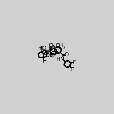 Cc1cccc([C@@H](O)[C@@]2(O)[C@@H]3CC[C@H]2C[C@H](S(=O)(=O)c2cc(C(=O)Nc4ccc(F)c(F)c4)ccc2Cl)C3)n1